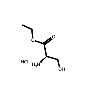 CCOC(=O)[C@H](N)CO.Cl